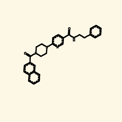 O=C(NCCc1ccccc1)c1ccc(N2CCN(C(=O)c3ccc4ccccc4c3)CC2)nc1